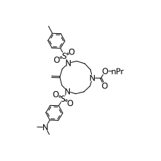 C=C1CN(S(=O)(=O)c2ccc(C)cc2)CCCN(C(=O)OCCC)CCCN(S(=O)(=O)c2ccc(N(C)C)cc2)C1